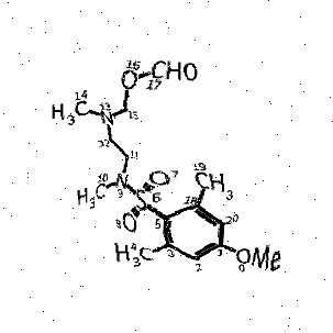 COc1cc(C)c(S(=O)(=O)N(C)CCN(C)COC=O)c(C)c1